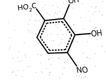 O=Nc1ccc(C(=O)O)c(O)c1O